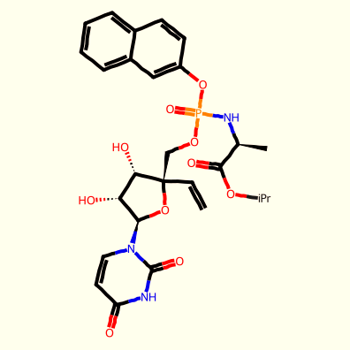 C=C[C@]1(COP(=O)(N[C@@H](C)C(=O)OC(C)C)Oc2ccc3ccccc3c2)O[C@@H](n2ccc(=O)[nH]c2=O)[C@H](O)[C@@H]1O